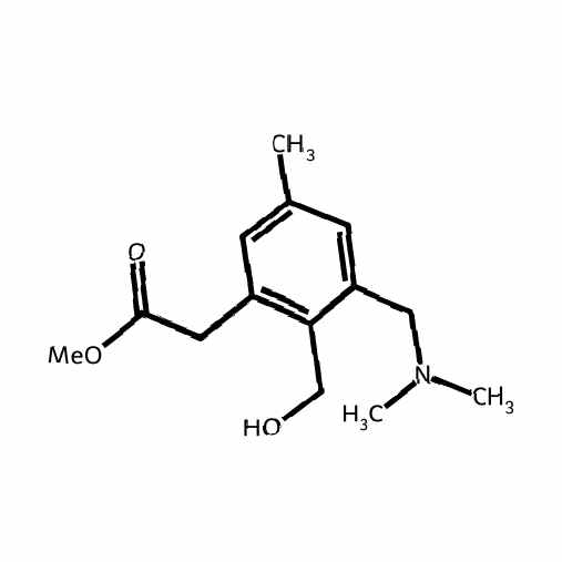 COC(=O)Cc1cc(C)cc(CN(C)C)c1CO